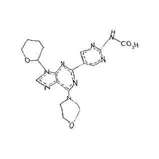 O=C(O)Nc1ncc(-c2nc(N3CCOCC3)c3ncn(C4CCCCO4)c3n2)cn1